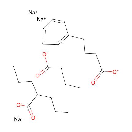 CCCC(=O)[O-].CCCC(CCC)C(=O)[O-].O=C([O-])CCCc1ccccc1.[Na+].[Na+].[Na+]